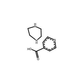 C1CNCCN1.O=C(O)c1ccncc1